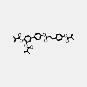 C=C(C)C(=O)Oc1ccc(CCC(=O)Oc2ccc(-c3ccc(OC(=O)C(=C)C)c(OC(=O)C(=C)C)c3)cc2)cc1